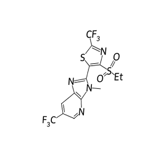 CCS(=O)(=O)c1nc(C(F)(F)F)sc1-c1nc2cc(C(F)(F)F)cnc2n1C